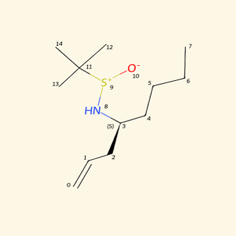 C=CC[C@H](CCCC)N[S+]([O-])C(C)(C)C